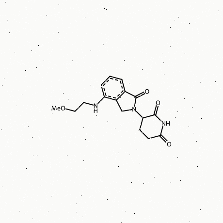 COCCNc1cccc2c1CN(C1CCC(=O)NC1=O)C2=O